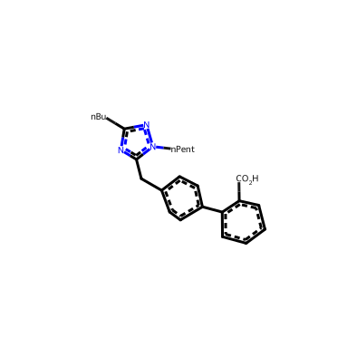 CCCCCn1nc(CCCC)nc1Cc1ccc(-c2ccccc2C(=O)O)cc1